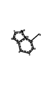 Cc1cccc2[c]cnn12